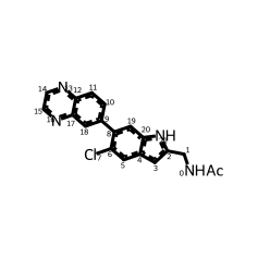 CC(=O)NCc1cc2cc(Cl)c(-c3ccc4nccnc4c3)cc2[nH]1